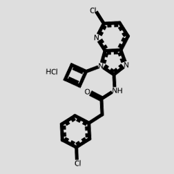 Cl.O=C(Cc1cccc(Cl)c1)Nc1nc2ccc(Cl)nc2n1C1=CC=C1